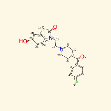 O=C(c1ccc(F)cc1)C1CCN(CCn2c(=O)sc3cc(O)ccc32)CC1